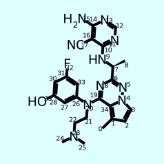 Cc1ccn2nc([C@H](C)Nc3ncnc(N)c3C#N)nc(N(CCN(C)C)c3cc(O)cc(F)c3)c12